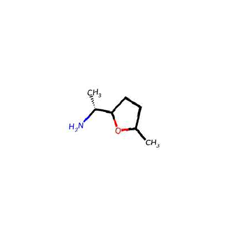 CC1CCC([C@@H](C)N)O1